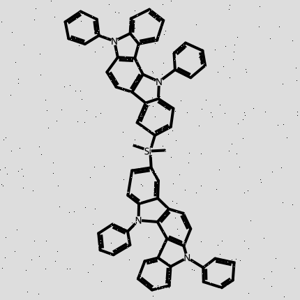 C[Si](C)(c1ccc2c(c1)c1ccc3c(c4ccccc4n3-c3ccccc3)c1n2-c1ccccc1)c1ccc2c(c1)c1ccc3c(c4ccccc4n3-c3ccccc3)c1n2-c1ccccc1